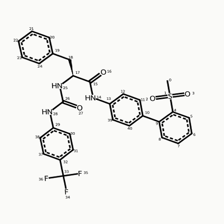 CS(=O)(=O)c1ccccc1-c1ccc(NC(=O)[C@H](Cc2ccccc2)NC(=O)Nc2ccc(C(F)(F)F)cc2)cc1